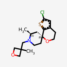 C[C@H]1C[C@@]2(CCN1CC1(C)COC1)OCCc1cc(Cl)sc12